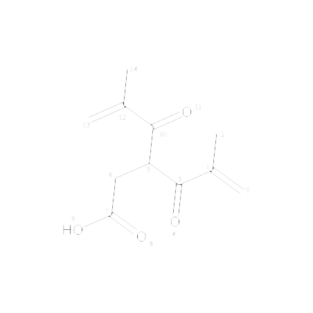 C=C(C)C(=O)C(CC(=O)O)C(=O)C(=C)C